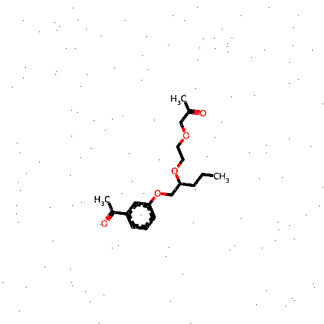 CCCC(COc1cccc(C(C)=O)c1)OCCOCC(C)=O